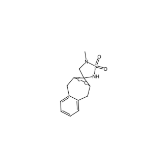 CN1CC2(NS1(=O)=O)C1CCC2Cc2ccccc2C1